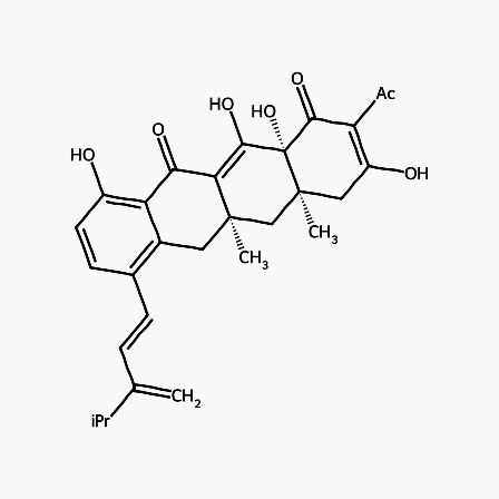 C=C(/C=C/c1ccc(O)c2c1C[C@]1(C)C[C@]3(C)CC(O)=C(C(C)=O)C(=O)[C@]3(O)C(O)=C1C2=O)C(C)C